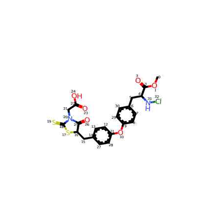 COC(=O)C(Cc1ccc(Oc2ccc(CC3SC(=S)N(CC(=O)O)C3=O)cc2)cc1)NCl